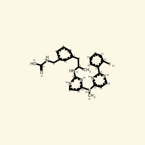 CC(Cc1cccc(CNC(=O)O)c1)Nc1nccc(N(C)c2ccnc(-c3ccccc3F)n2)n1